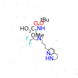 COC(CN(CCCCc1ccc2c(n1)NCCC2)CC[C@H](NC(=O)OC(C)(C)C)C(=O)O)C(F)F